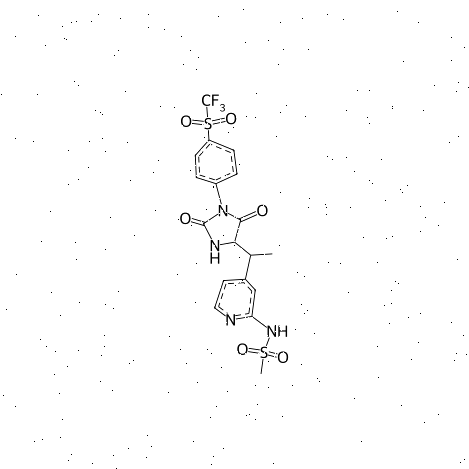 CC(c1ccnc(NS(C)(=O)=O)c1)C1NC(=O)N(c2ccc(S(=O)(=O)C(F)(F)F)cc2)C1=O